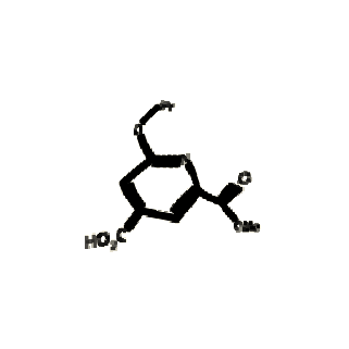 COC(=O)c1cc(C(=O)O)cc(OC(C)C)n1